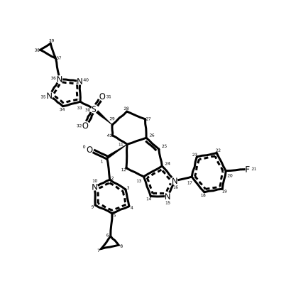 O=C(c1ccc(C2CC2)cn1)[C@]12Cc3cnn(-c4ccc(F)cc4)c3C=C1CC[C@H](S(=O)(=O)c1cnn(C3CC3)n1)C2